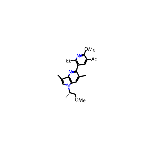 CCc1nc(OC)c(C(C)=O)cc1-c1nc2c(C)cn([C@@H](C)COC)c2cc1C